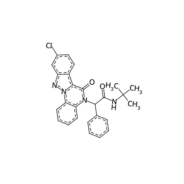 CC(C)(C)NC(=O)C(c1ccccc1)n1c(=O)c2c3ccc(Cl)cc3nn2c2ccccc21